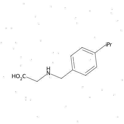 CC(C)c1ccc(CNCC(=O)O)cc1